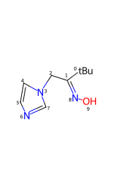 CC(C)(C)C(Cn1ccnc1)=NO